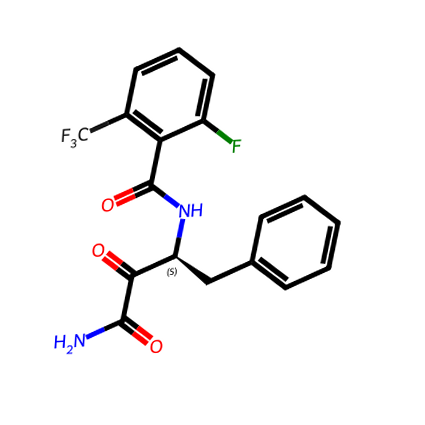 NC(=O)C(=O)[C@H](Cc1ccccc1)NC(=O)c1c(F)cccc1C(F)(F)F